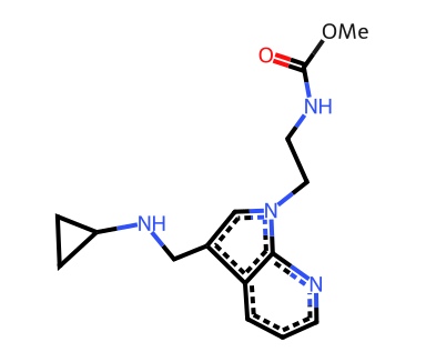 COC(=O)NCCn1cc(CNC2CC2)c2cccnc21